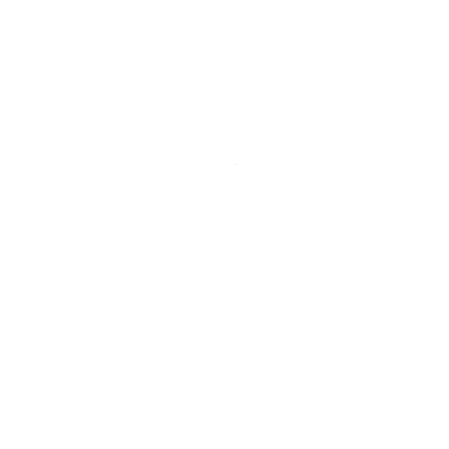 CCOC(=O)C=C(C)C(C)=CCC(C)CCCCCC(C)C